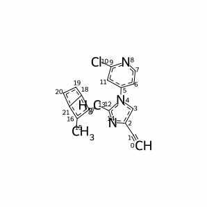 C#Cc1cn(-c2ccnc(Cl)c2)c(C)n1.Cc1cc2ccc1-2